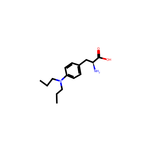 CCCN(CCC)c1ccc(C[C@H](N)C(=O)O)cc1